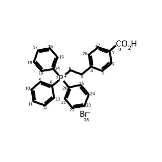 O=C(O)c1ccc(CC[P+](c2ccccc2)(c2ccccc2)c2ccccc2)cc1.[Br-]